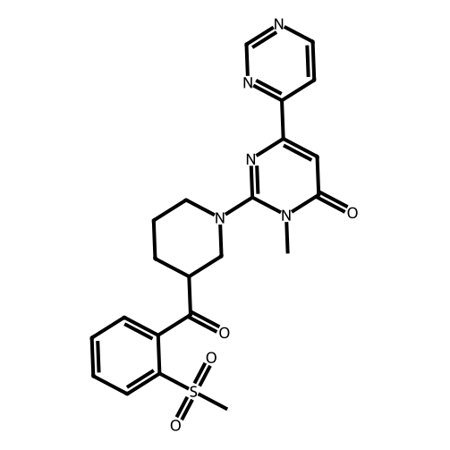 Cn1c(N2CCCC(C(=O)c3ccccc3S(C)(=O)=O)C2)nc(-c2ccncn2)cc1=O